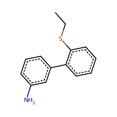 CCSc1ccccc1-c1cccc(N)c1